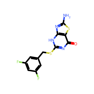 Nc1nc2[nH]c(SCc3cc(F)cc(F)c3)nc(=O)c2s1